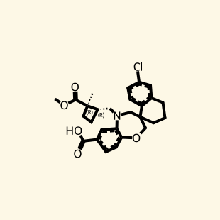 COC(=O)[C@]1(C)CC[C@H]1CN1CC2(CCCc3cc(Cl)ccc32)COc2ccc(C(=O)O)cc21